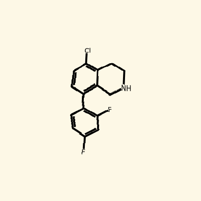 Fc1ccc(-c2ccc(Cl)c3c2CNCC3)c(F)c1